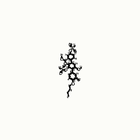 CCCCOc1ccc(-c2c(OC)cc(-c3ccc(OS(C)(=O)=O)cc3)c(OCOC)c2OS(C)(=O)=O)cc1F